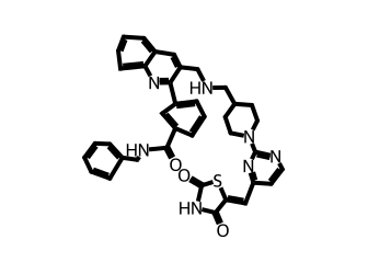 O=C1NC(=O)C(=Cc2ccnc(N3CCC(CNCc4cc5ccccc5nc4-c4cccc(C(=O)NCc5ccccc5)c4)CC3)n2)S1